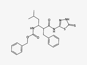 CC(C)CC(NC(=O)OCc1ccccc1)C(Cc1ccccc1)C(=O)Nc1n[nH]c(=S)s1